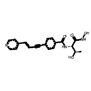 C[C@@H](O)[C@H](NC(=O)c1ccc(C#CC=Cc2ccncc2)cc1)C(=O)NO